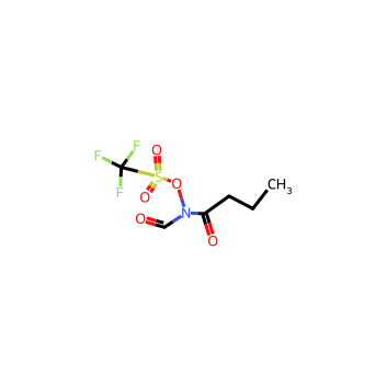 CCCC(=O)N(C=O)OS(=O)(=O)C(F)(F)F